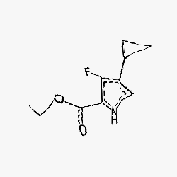 CCOC(=O)c1[nH]cc(C2CC2)c1F